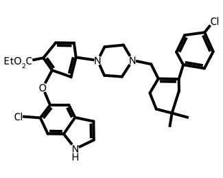 CCOC(=O)c1ccc(N2CCN(CC3=C(c4ccc(Cl)cc4)CC(C)(C)CC3)CC2)cc1Oc1cc2cc[nH]c2cc1Cl